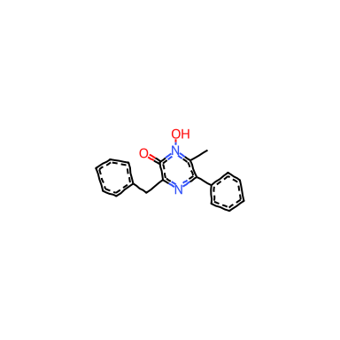 Cc1c(-c2ccccc2)nc(Cc2ccccc2)c(=O)n1O